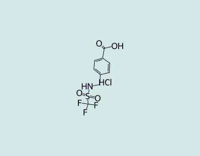 Cl.O=C(O)c1ccc(CNS(=O)(=O)C(F)(F)F)cc1